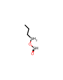 CCC[SiH2]O[SiH]=O